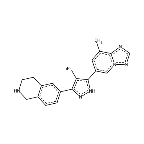 Cc1cc(-c2[nH]nc(-c3ccc4c(c3)CCNC4)c2C(C)C)cn2ncnc12